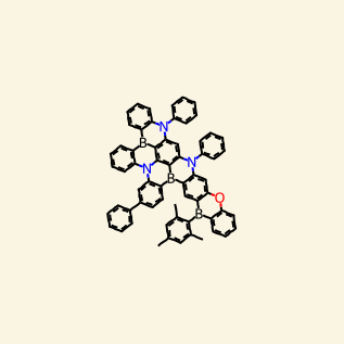 Cc1cc(C)c(B2c3ccccc3Oc3cc4c(cc32)B2c3ccc(-c5ccccc5)cc3N3c5ccccc5B5c6ccccc6N(c6ccccc6)c6cc(c2c3c65)N4c2ccccc2)c(C)c1